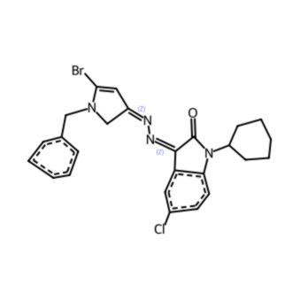 O=C1/C(=N\N=C2\C=C(Br)N(Cc3ccccc3)C2)c2cc(Cl)ccc2N1C1CCCCC1